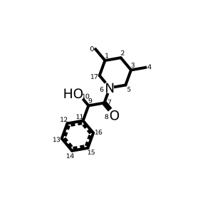 CC1CC(C)CN(C(=O)C(O)c2ccccc2)C1